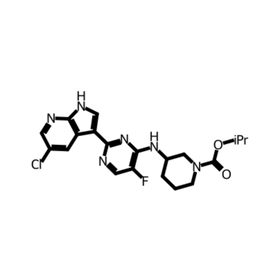 CC(C)OC(=O)N1CCCC(Nc2nc(-c3c[nH]c4ncc(Cl)cc34)ncc2F)C1